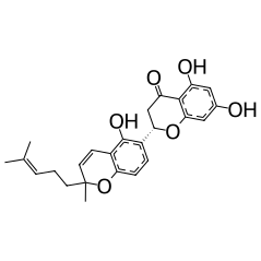 CC(C)=CCCC1(C)C=Cc2c(ccc([C@@H]3CC(=O)c4c(O)cc(O)cc4O3)c2O)O1